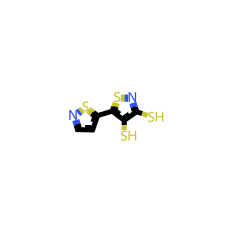 Sc1nsc(-c2ccns2)c1S